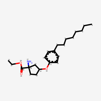 CCCCCCCCc1ccc(OC2CCC(N)(C(=O)OCC)C2)cc1